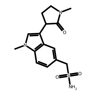 CN1CCC(c2cn(C)c3ccc(CS(N)(=O)=O)cc23)C1=O